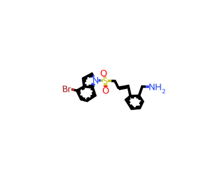 NCc1ccccc1C=CCS(=O)(=O)n1ccc2c(Br)cccc21